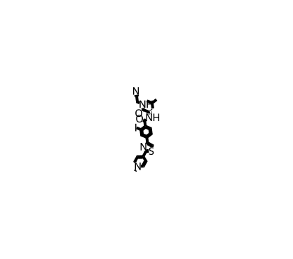 CC(C)C[C@H](NC(=O)c1ccc(-c2csc(C3=CCN(C)C=C3)n2)cc1I)C(=O)NCC#N